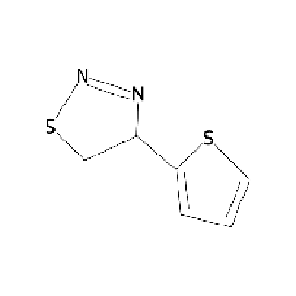 c1csc(C2CSN=N2)c1